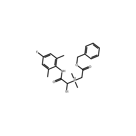 CCC(C(=O)Nc1c(C)cc(F)cc1C)[PH](C)(C)CC(=O)OCc1ccccc1